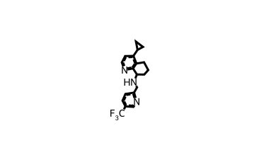 FC(F)(F)c1ccc(CNC2CCCc3c(C4CC4)ccnc32)nc1